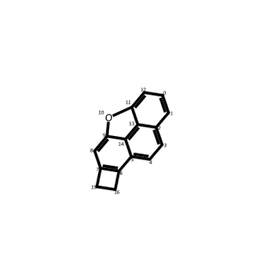 c1cc2ccc3c4c(cc5oc(c1)c2c53)CC4